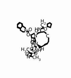 C=C(N[C@H]1CCCCC/C=C\[C@@H]2C[C@@]2(C(=O)NS(=O)(=O)c2c(C)noc2C)NC(=O)[C@@H]2C[C@@H](OC(=O)N3CCc4ccccc4C3)CN2C1=O)OC1CCCC1